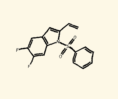 C=Cc1cc2cc(F)c(F)cc2n1S(=O)(=O)c1ccccc1